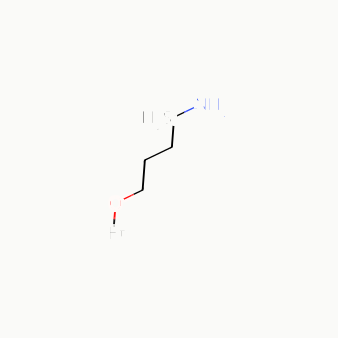 CCOCCC[SiH2]N